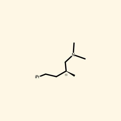 CC(C)CC[C@H](C)CN(C)C